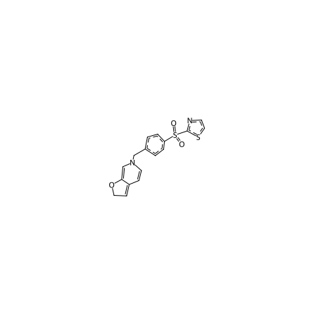 O=S(=O)(c1ccc(CN2C=CC3=CCOC3=C2)cc1)c1nccs1